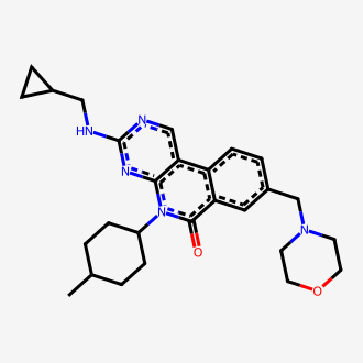 CC1CCC(n2c(=O)c3cc(CN4CCOCC4)ccc3c3cnc(NCC4CC4)nc32)CC1